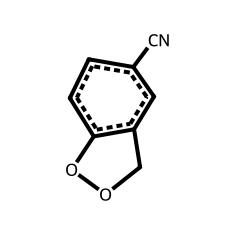 N#Cc1ccc2c(c1)COO2